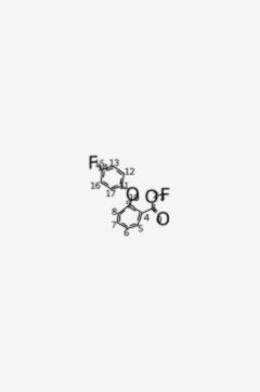 O=C(OF)c1ccccc1Oc1ccc(F)cc1